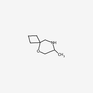 CC1COC2(CCC2)CN1